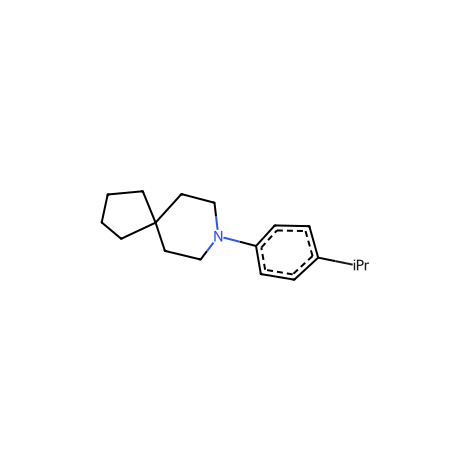 CC(C)c1ccc(N2CCC3(CCCC3)CC2)cc1